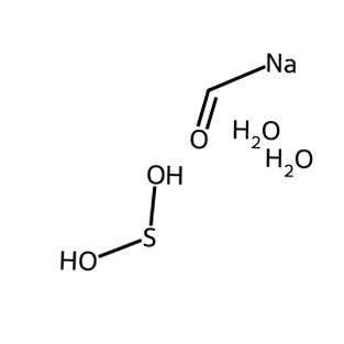 O.O.O=[CH][Na].OSO